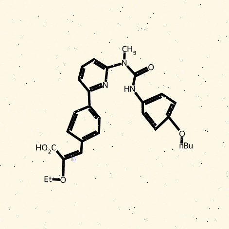 CCCCOc1ccc(NC(=O)N(C)c2cccc(-c3ccc(/C=C(/OCC)C(=O)O)cc3)n2)cc1